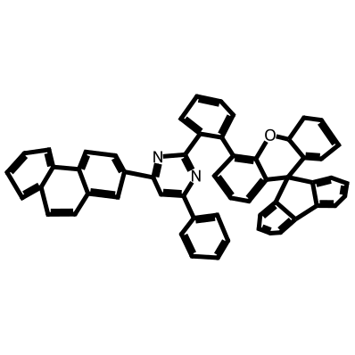 C1=CCC2Oc3c(-c4ccccc4-c4nc(-c5ccccc5)cc(-c5ccc6c(ccc7ccccc76)c5)n4)cccc3C3(C2=C1)c1ccccc1-c1ccccc13